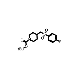 CC(C)(C)OC(=O)N1CCC(CS(=O)(=O)c2ccc(F)cc2)CC1